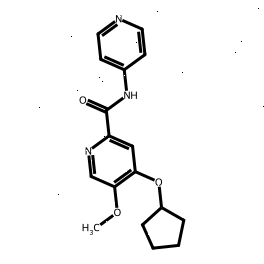 COc1cnc(C(=O)Nc2ccncc2)cc1OC1CCCC1